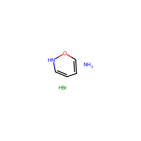 Br.C1=CNOC=C1.N